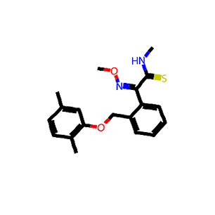 CNC(=S)C(=NOC)c1ccccc1COc1cc(C)ccc1C